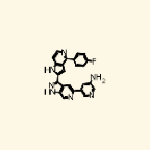 Nc1cncc(-c2cc3c(-c4cc5c(-c6ccc(F)cc6)nccc5[nH]4)n[nH]c3cn2)c1